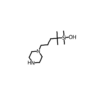 CC(C)(CCCN1CCNCC1)[Si](C)(C)O